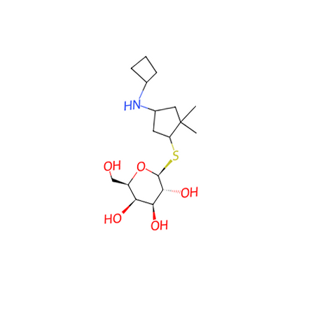 CC1(C)CC(NC2CCC2)CC1S[C@@H]1O[C@H](CO)[C@H](O)[C@H](O)[C@H]1O